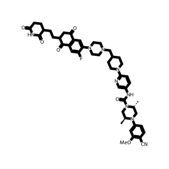 COc1cc(N2C[C@@H](C)N(C(=O)Nc3ccc(N4CCC(CN5CCN(c6cc7c(cc6F)C(=O)C(CCC6CCC(=O)NC6=O)CC7=O)CC5)CC4)nc3)C[C@@H]2C)ccc1C#N